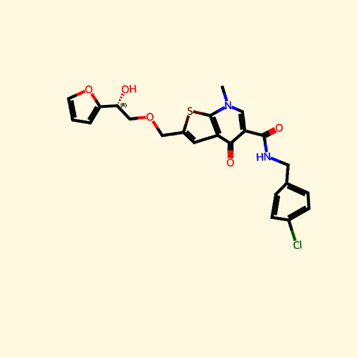 Cn1cc(C(=O)NCc2ccc(Cl)cc2)c(=O)c2cc(COC[C@@H](O)c3ccco3)sc21